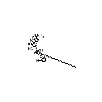 CCCCCCCCCCCCCCCCCCOC[C@H](COP(=O)(O)OC[C@H]1O[C@@](C#N)(c2ccc3c(N)ncnn23)[C@H](O)[C@@H]1O)Oc1ccccc1C#N